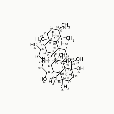 C[C@@H]1[C@H]2[C@H]3CC[C@@H]4[C@]5(C)[C@@H](CC[C@@]4(C)[C@]3(C)CC[C@@]2(C)CC[C@H]1C)C(C)(C)CCC5(O)C(=O)O.OCCNCCO